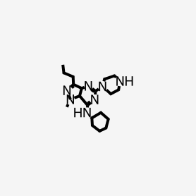 CCCC1=NN(C)C2C(NC3CCCCC3)=NC(N3CCNCC3)=NC12